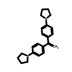 C=C(c1ccc(N2CCCC2)cc1)c1ccc(N2CCCC2)cc1